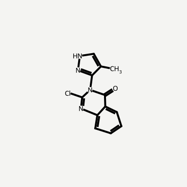 Cc1c[nH]nc1-n1c(Cl)nc2ccccc2c1=O